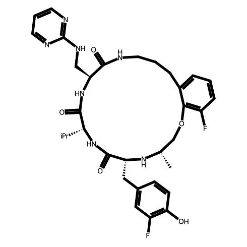 CC(C)[C@H]1NC(=O)[C@@H](Cc2ccc(O)c(F)c2)N[C@@H](C)COc2c(F)cccc2CCCNC(=O)[C@H](CNc2ncccn2)NC1=O